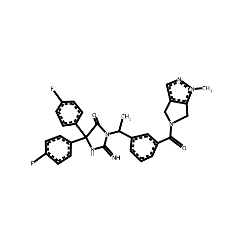 CC(c1cccc(C(=O)N2Cc3cnn(C)c3C2)c1)N1C(=N)NC(c2ccc(F)cc2)(c2ccc(F)cc2)C1=O